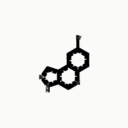 Brc1ccc2ncc3[nH]ncc3c2c1